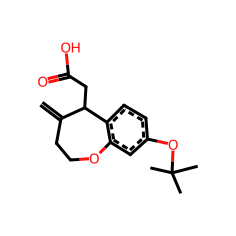 C=C1CCOc2cc(OC(C)(C)C)ccc2C1CC(=O)O